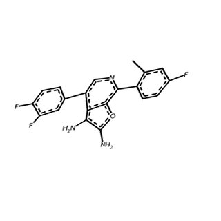 Cc1cc(F)ccc1-c1ncc(-c2ccc(F)c(F)c2)c2c(N)c(N)oc12